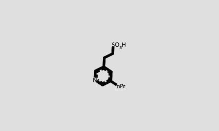 CCCc1cncc(CCS(=O)(=O)O)c1